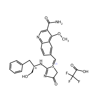 COc1c(C(N)=O)cnc2ccc(/C=S3/CC(=O)N=C3N[C@@H](CO)Cc3ccccc3)cc12.O=C(O)C(F)(F)F